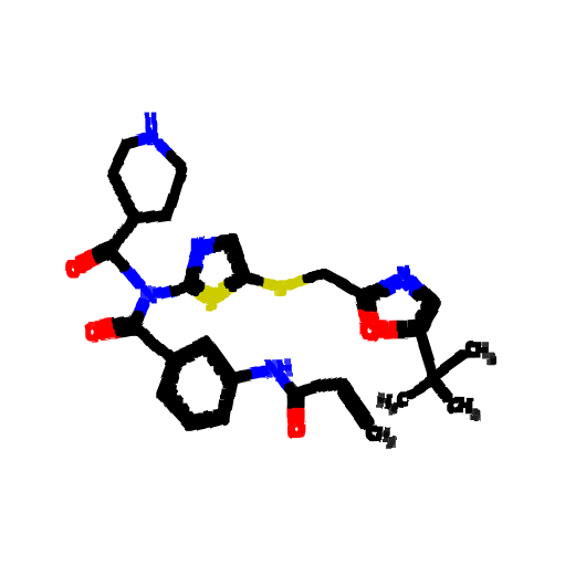 C=CC(=O)Nc1cccc(C(=O)N(C(=O)C2CCNCC2)c2ncc(SCc3ncc(C(C)(C)C)o3)s2)c1